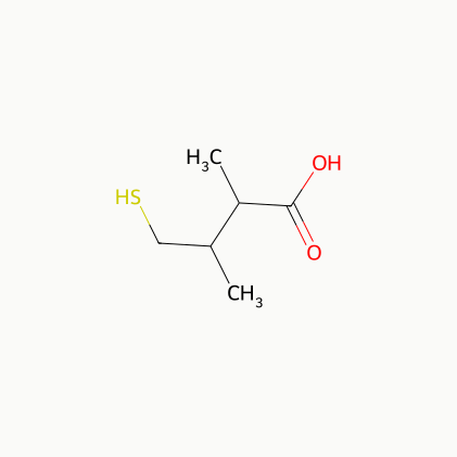 CC(CS)C(C)C(=O)O